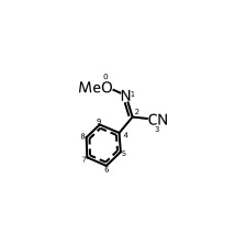 CO/N=C(/C#N)c1ccccc1